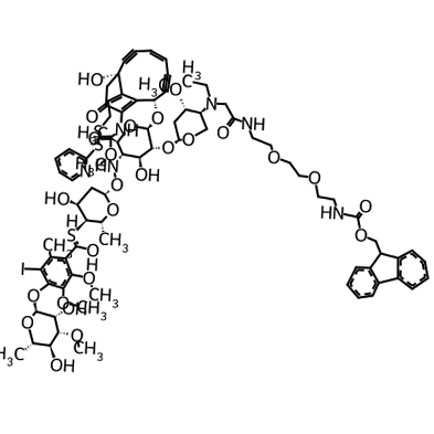 CCN(CC(=O)NCCOCCOCCNC(=O)OCC1c2ccccc2-c2ccccc21)[C@H]1CO[C@@H](O[C@H]2[C@H](O[C@H]3C#CC=CC#C[C@]4(O)CC(=O)C(NC(=O)OC)=C3/C4=C\CSSc3ccccn3)O[C@H](C)[C@@H](NO[C@H]3C[C@H](O)[C@H]([SH]=C(O)c4c(C)c(I)c(O[C@@H]5O[C@@H](C)[C@H](O)[C@@H](OC)[C@H]5O)c(OC)c4OC)[C@@H](C)O3)[C@@H]2O)C[C@@H]1OC